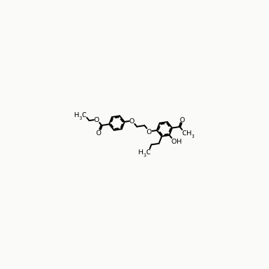 CCCc1c(OCCOc2ccc(C(=O)OCC)cc2)ccc(C(C)=O)c1O